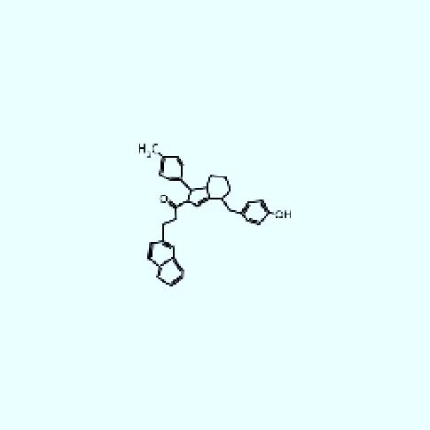 Cc1ccc(C2C(C(=O)CCc3ccc4ccccc4c3)C=C3C(Cc4ccc(O)cc4)CCCC32)cc1